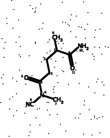 CC(C[CH]C(=O)N(C)C#N)C(N)=O